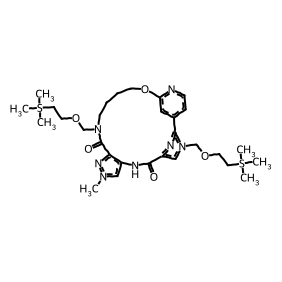 Cn1cc2c(n1)C(=O)N(COCCS(C)(C)C)CCCCOc1cc(ccn1)-c1nc(cn1COCCS(C)(C)C)C(=O)N2